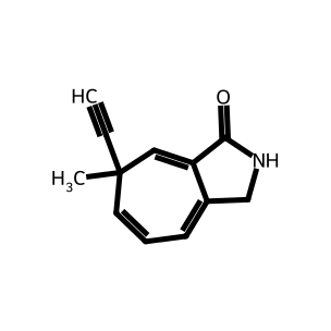 C#CC1(C)C=CC=C2CNC(=O)C2=C1